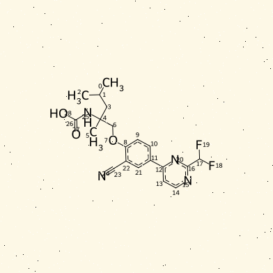 CC(C)CC(C)(COc1ccc(-c2ccnc(C(F)F)n2)cc1C#N)NC(=O)O